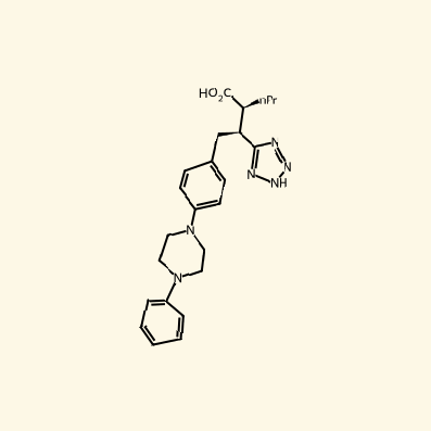 CCC[C@H](C(=O)O)[C@H](Cc1ccc(N2CCN(c3ccccc3)CC2)cc1)c1nn[nH]n1